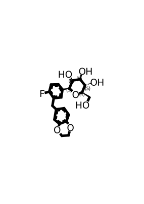 OC[C@H]1O[C@@H](c2ccc(F)c(Cc3ccc4c(c3)OCCO4)c2)[C@H](O)[C@@H](O)[C@@H]1O